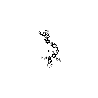 CNC(=O)C(CCC=O)N1Cc2ccc(N3CC4(CCN(CC5CN(Cc6c(OC)cc(-c7cn(C)c8cnc(OC)cc78)cc6OC)C5)CC4)C3)cc2C1=O